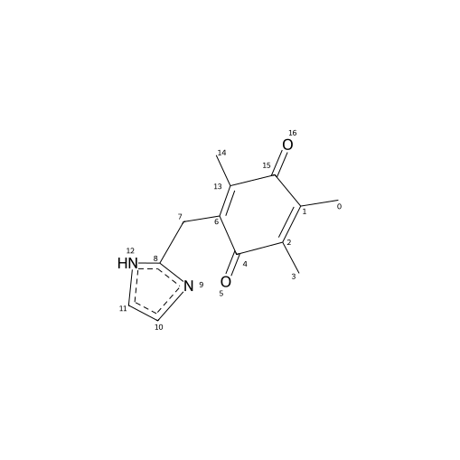 CC1=C(C)C(=O)C(Cc2ncc[nH]2)=C(C)C1=O